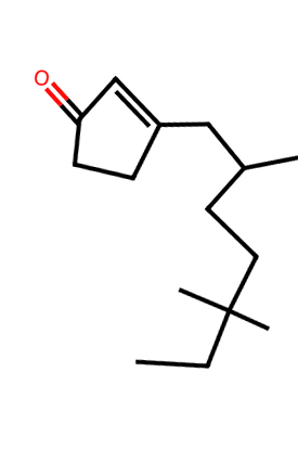 CCC(C)(C)CCC(C)CC1=CC(=O)CC1